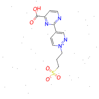 O=C(O)c1ccnc(-c2cc[n+](CCCS(=O)(=O)[O-])nc2)n1